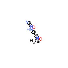 CC1(C(=O)N2CC=C(c3ccc(NC(=O)N4Cc5ccncc5C4)cc3)CC2)CC1